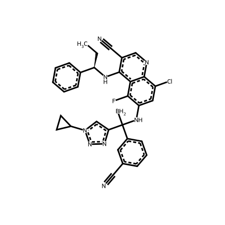 BC(Nc1cc(Cl)c2ncc(C#N)c(N[C@H](CC)c3ccccc3)c2c1F)(c1cccc(C#N)c1)c1cn(C2CC2)nn1